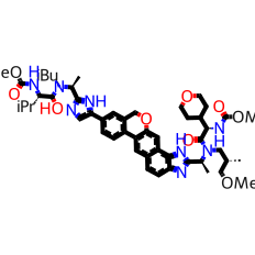 CC[C@H](C)N(C(O)[C@@H](NC(=O)OC)C(C)C)[C@@H](C)c1ncc(-c2ccc3c(c2)COc2cc4c(ccc5nc([C@H](C)N(C[C@H](C)COC)C(=O)[C@@H](NC(=O)OC)C6CCOCC6)[nH]c54)cc2-3)[nH]1